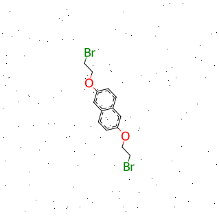 BrCCOc1ccc2cc(OCCBr)ccc2c1